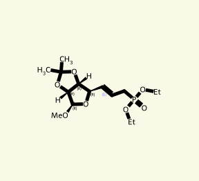 CCOP(=O)(C/C=C/[C@H]1O[C@@H](OC)[C@@H]2OC(C)(C)O[C@@H]21)OCC